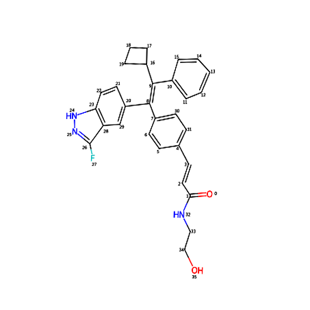 O=C(/C=C/c1ccc(/C(=C(\c2ccccc2)C2CCC2)c2ccc3[nH]nc(F)c3c2)cc1)NCCO